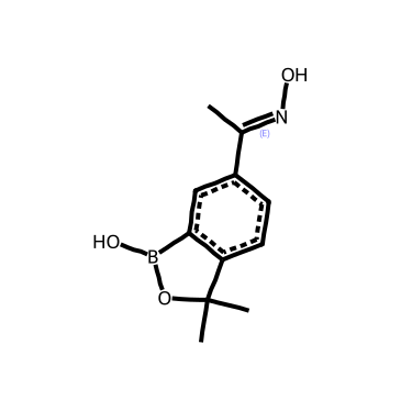 C/C(=N\O)c1ccc2c(c1)B(O)OC2(C)C